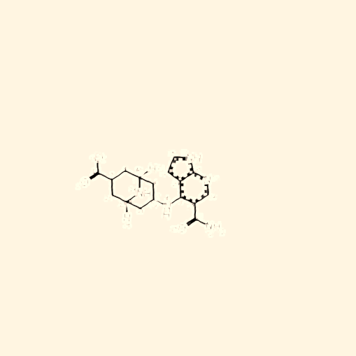 CCC(=O)C1C[C@@H]2C[C@@H](Nc3c(C(N)=O)cnc4[nH]ccc34)C[C@H](C1)N2